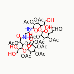 CC(=O)OC(C(=O)NCCNC(=O)C(OC(C)=O)C(OC(C)=O)C(OC1OC(CC=O)C(OC(C)=O)C(OC(C)=O)C1OC(C)=O)C(O)CO)C(OC(C)=O)C(OC1OC(CO)C(OC(C)=O)C(OC(C)=O)C1OC(C)=O)C(O)CO